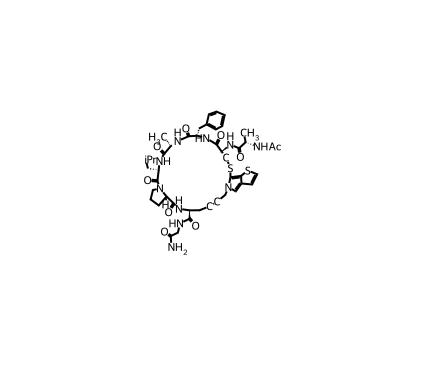 CC(=O)N[C@@H](C)C(=O)N[C@H]1CSc2c3sccc3cn2CCCC[C@@H](C(=O)NCC(N)=O)NC(=O)[C@@H]2CCCN2C(=O)[C@H](CC(C)C)NC(=O)[C@H](C)NC(=O)[C@H](Cc2ccccc2)NC1=O